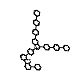 c1ccc(-c2ccc(-c3ccc(-c4ccc5c(c4)c(-c4ccc(-c6ccc(-c7ccccc7)cc6)cc4)cn5-c4ccc(-c5cccc6c5sc5c(-c7ccccc7)cccc56)cc4)cc3)cc2)cc1